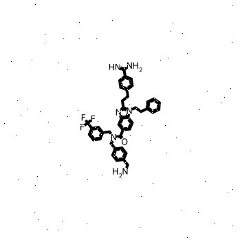 N=C(N)c1ccc(CCc2nc3cc(C(=O)N(Cc4ccc(CN)cc4)Cc4cccc(C(F)(F)F)c4)ccc3n2CCc2ccccc2)cc1